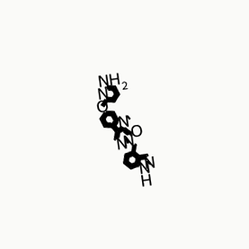 Cn1c2cc(Oc3cccc(N)n3)ccc2c2cnn(Cc3cccc4[nH]ncc34)c(=O)c21